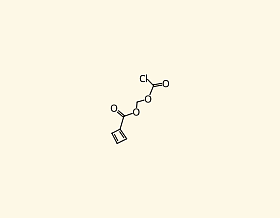 O=C(Cl)OCOC(=O)C1=CC=C1